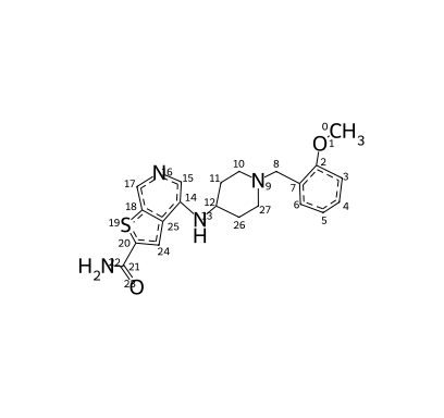 COc1ccccc1CN1CCC(Nc2cncc3sc(C(N)=O)cc23)CC1